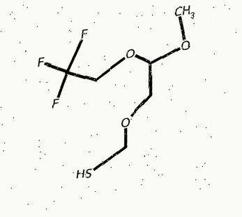 COC(COCS)OCC(F)(F)F